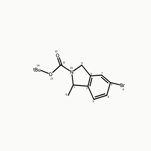 CC1c2ccc(Br)cc2CN1C(=O)OC(C)(C)C